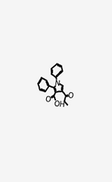 CCC(=O)c1cn(-c2ccccc2)c(-c2ccccc2)c1C(=O)O